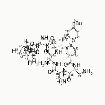 CCCCc1ccc(-c2ccc(C(=O)N[C@@H](CN)C(=O)NC(CN)C(=O)N[C@@H](N)C(=O)N[C@@H](CC(C)C)C(=O)N[C@@H](N)B3O[C@@H]4C[C@@H]5C[C@@H](C5(C)C)[C@]4(C)O3)cc2)cc1